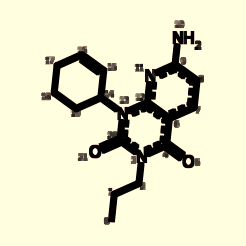 CCCn1c(=O)c2ccc(N)nc2n(C2C=CCCC2)c1=O